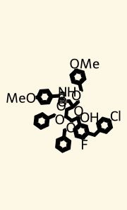 COc1ccc(COCC2(COCc3ccc(OC)cc3)OC(O)(c3ccc(F)c(Cc4ccc(Cl)cc4)c3)C(OCc3ccccc3)[C@@H](OCc3ccccc3)[C@@H]2OB=N)cc1